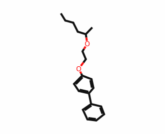 CCCCC(C)OCCOc1ccc(-c2ccccc2)cc1